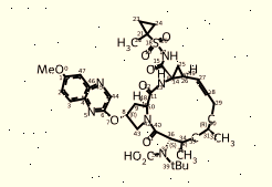 COc1ccc2nc(O[C@@H]3C[C@H]4C(=O)N[C@]5(C(=O)NS(=O)(=O)C6(C)CC6)C[C@H]5C=CCC[C@@H](C)C[C@@H](C)[C@H](N(C(=O)O)C(C)(C)C)C(=O)N4C3)cnc2c1